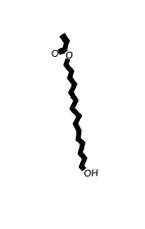 C=CC(=O)OCCCCCCCCCCCCCCCO